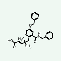 CC(C)(C=CC(=O)O)Cc1ccc(OCc2ccccc2)cc1C(=O)NCc1ccccc1